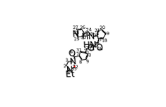 CCN1CCN(C(=O)c2cccc(CONC(=O)c3ccccc3NCc3ccncc3)c2)CC1